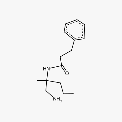 CCCC(C)(CN)NC(=O)CCc1ccccc1